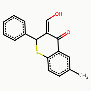 Cc1ccc2c(c1)C(=O)C(=CO)C(c1ccccc1)S2